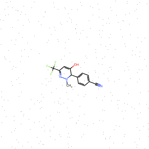 CN1N=C(C(F)(F)F)C=C(O)C1c1ccc(C#N)cc1